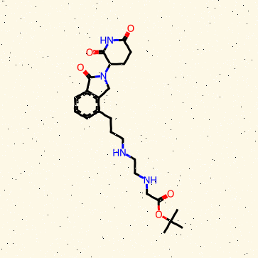 CC(C)(C)OC(=O)CNCCNCCCc1cccc2c1CN(C1CCC(=O)NC1=O)C2=O